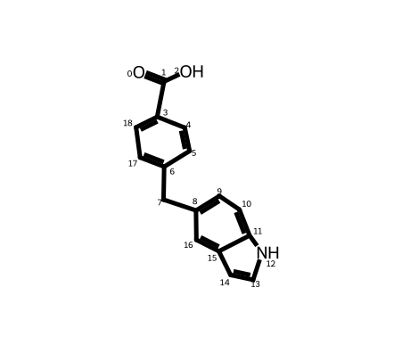 O=C(O)c1ccc(Cc2ccc3[nH]ccc3c2)cc1